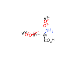 CC(C)[C@H](N)C(=O)O.[O-2].[O-2].[O-2].[O-2].[O-2].[V+5].[V+5]